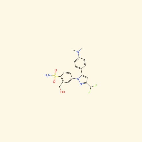 CN(C)c1ccc(-c2cc(C(F)F)nn2-c2ccc(S(N)(=O)=O)c(CO)c2)cc1